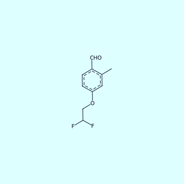 Cc1cc(OCC(F)F)ccc1C=O